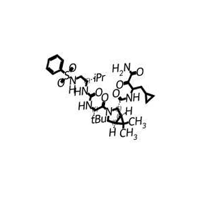 CC(C)[C@@H](CNS(=O)(=O)c1ccccc1)NC(=O)N[C@H](C(=O)N1C[C@H]2[C@@H]([C@H]1C(=O)NC(CC1CC1)C(=O)C(N)=O)C2(C)C)C(C)(C)C